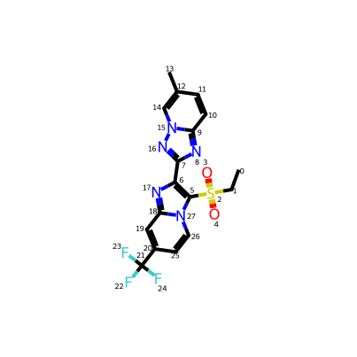 CCS(=O)(=O)c1c(-c2nc3ccc(C)cn3n2)nc2cc(C(F)(F)F)ccn12